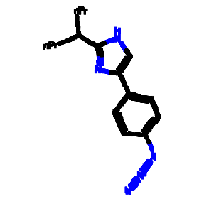 CCCC(CCC)c1nc(-c2ccc(N=[N+]=[N-])cc2)c[nH]1